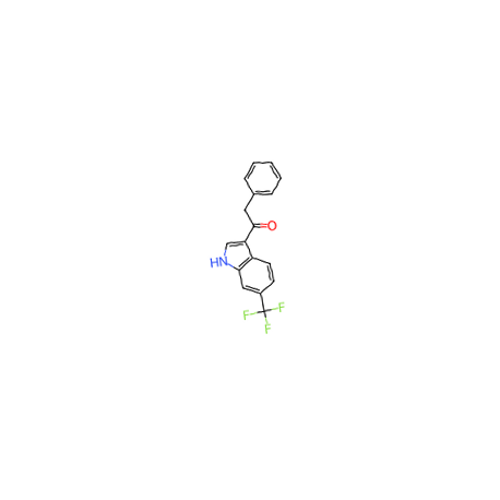 O=C(Cc1ccccc1)c1c[nH]c2cc(C(F)(F)F)ccc12